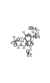 CCOCc1nc2c(NC(C)(C)CC(C)(C)C)nc(C)c(C)c2n1CC1COC(C)(C)OC1